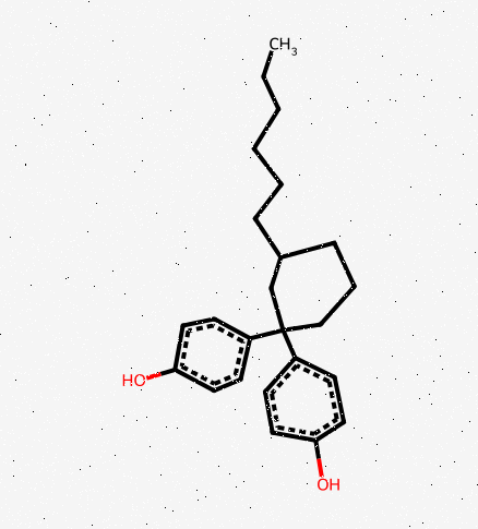 CCCCCCC1CCCC(c2ccc(O)cc2)(c2ccc(O)cc2)C1